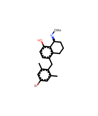 CO/N=C1\CCCc2c(Cc3c(C)cc(Br)cc3C)ccc(O)c21